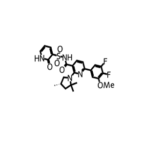 COc1cc(-c2ccc(C(=O)NS(=O)(=O)c3ccc[nH]c3=O)c(N3C[C@@H](C)CC3(C)C)n2)cc(F)c1F